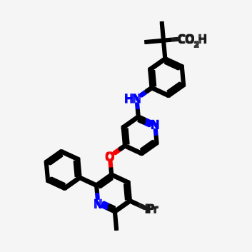 Cc1nc(-c2ccccc2)c(Oc2ccnc(Nc3cccc(C(C)(C)C(=O)O)c3)c2)cc1C(C)C